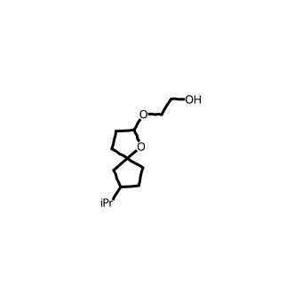 CC(C)C1CCC2(CCC(OCCO)O2)C1